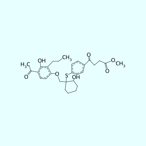 CCCc1c(OCC2(Sc3ccc(C(=O)CCC(=O)OC)cc3)CCCCC2O)ccc(C(C)=O)c1O